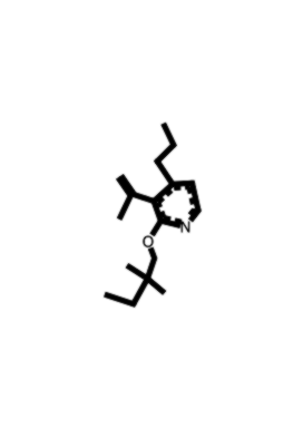 C=C(C)c1c(CCC)ccnc1OCC(C)(C)CC